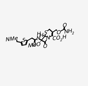 CNCc1ccc(CC(=O)N[C@]2(OC)C(=O)N3C(C(=O)O)=C(COC(N)=O)CS[C@H]32)s1